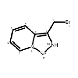 BrCC1=C2C=CC=CN2[Se]N1